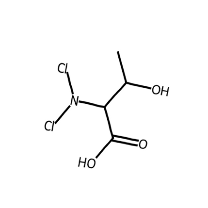 CC(O)C(C(=O)O)N(Cl)Cl